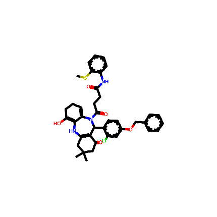 CSc1ccccc1NC(=O)CCC(=O)N1C2=CCCC(O)=C2NC2=C(C(=O)CC(C)(C)C2)C1c1ccc(OCc2ccccc2)cc1Cl